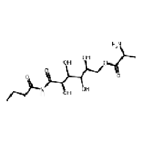 CCCC(=O)NC(=O)C(O)C(O)C(O)C(O)COC(=O)C(C)N